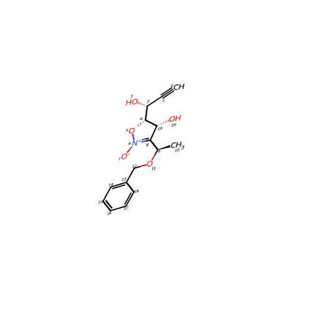 C#C[C@@H](O)[C@H]1O[N+]([O-])=C([C@@H](C)OCc2ccccc2)[C@H]1O